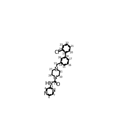 O=C(Nc1cnccn1)N1CCN(Cc2cccc(-c3ccccc3Cl)c2)CC1